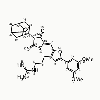 COc1cc(OC)cc(-c2cc(CCCNC(=N)N)c(/C=C3\SC(=S)N(C4C5CC6CC(C5)CC4C6)C3=O)o2)c1